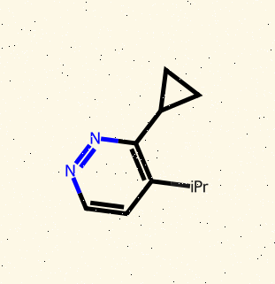 CC(C)c1ccnnc1C1CC1